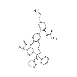 C=CCc1ccc(OC(C)=O)c(-c2ccc(OC(C)=O)c(CCC[PH](c3ccccc3)(c3ccccc3)c3ccccc3)c2)c1